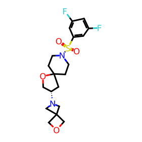 O=S(=O)(c1cc(F)cc(F)c1)N1CCC2(CC1)C[C@H](N1CC3(COC3)C1)CO2